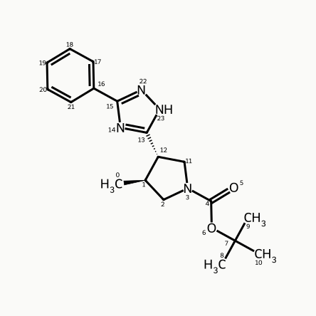 C[C@@H]1CN(C(=O)OC(C)(C)C)C[C@H]1c1nc(-c2ccccc2)n[nH]1